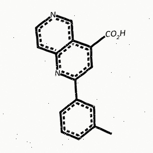 Cc1cccc(-c2cc(C(=O)O)c3cnccc3n2)c1